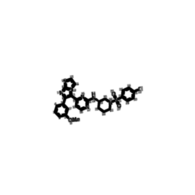 COc1cccc(-c2nc3sccn3c2-c2ccnc(N[C@@H]3CCCN(S(=O)(=O)c4ccc(Cl)cc4)C3)n2)c1